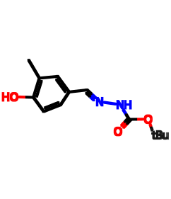 Cc1cc(/C=N/NC(=O)OC(C)(C)C)ccc1O